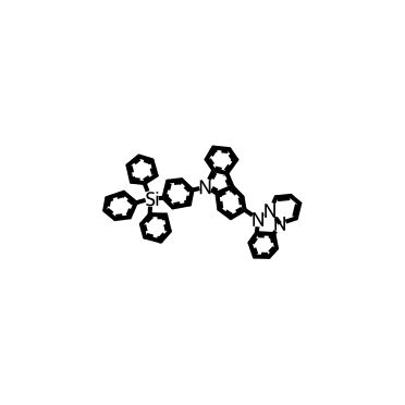 C1=CN2c3ccccc3N(c3ccc4c(c3)c3ccccc3n4-c3ccc([Si](c4ccccc4)(c4ccccc4)c4ccccc4)cc3)N2C=C1